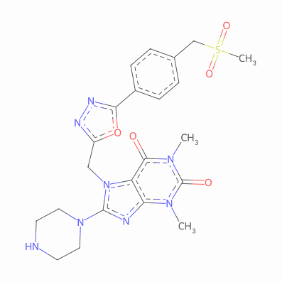 Cn1c(=O)c2c(nc(N3CCNCC3)n2Cc2nnc(-c3ccc(CS(C)(=O)=O)cc3)o2)n(C)c1=O